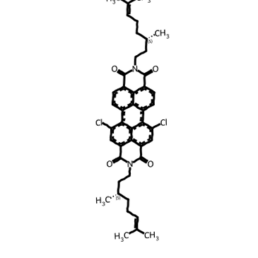 CC(C)=CCC[C@H](C)CCN1C(=O)c2ccc3c4c(Cl)cc5c6c(cc(Cl)c(c7ccc(c2c37)C1=O)c64)C(=O)N(CC[C@@H](C)CCC=C(C)C)C5=O